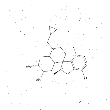 CCCC(CC1C(C)N(CC2CC2)CCC12c1c(C)ccc(CC)c1C[C@H]2C)[C@@H](C)C(C)(C)C